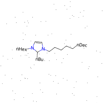 CCCCCCCCCCCCCCCN1C=CN(CCCCCC)C1CCCC